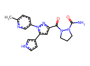 Cc1ccc(-n2nc(C(=O)N3CCCN3C(N)=O)cc2-c2cc[nH]c2)cn1